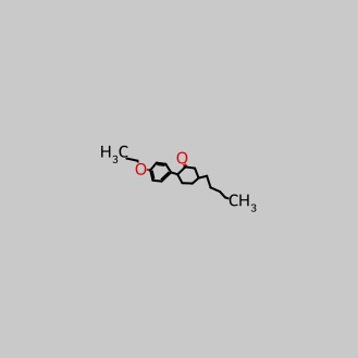 CCCCCC1CCC(c2ccc(OCCC)cc2)C(=O)C1